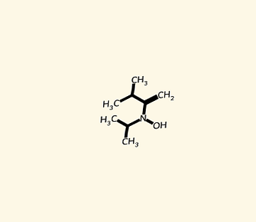 C=C(C(C)C)N(O)C(C)C